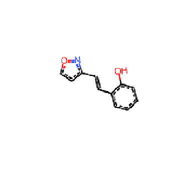 Oc1ccccc1C=Cc1ccon1